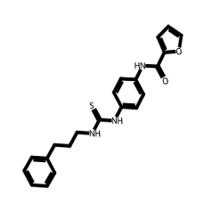 O=C(Nc1ccc(NC(=S)NCCCc2ccccc2)cc1)c1ccco1